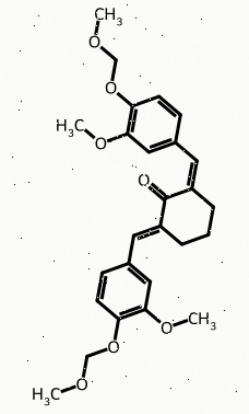 COCOc1ccc(/C=C2/CCC/C(=C\c3ccc(OCOC)c(OC)c3)C2=O)cc1OC